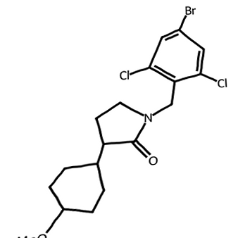 COC1CCC(C2CCN(Cc3c(Cl)cc(Br)cc3Cl)C2=O)CC1